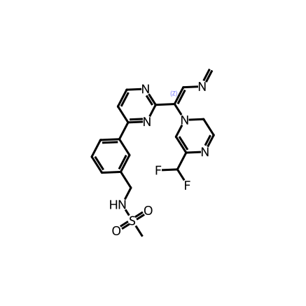 C=N/C=C(/c1nccc(-c2cccc(CNS(C)(=O)=O)c2)n1)N1C=C(C(F)F)N=CC1